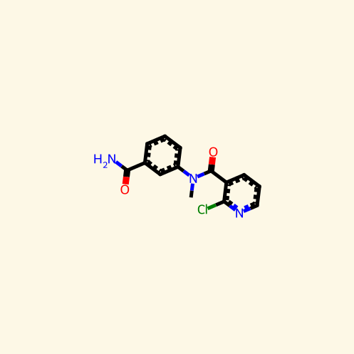 CN(C(=O)c1cccnc1Cl)c1cccc(C(N)=O)c1